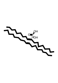 CCCCCCCCC=CCCCCCCCC.CCCCCCCCC=CCCCCCCCC.O=[PH](O)O